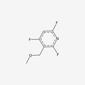 COCc1c(F)cc(F)nc1F